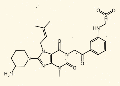 CC(C)=CCn1c(N2CCCC(N)C2)nc2c1c(=O)n(CC(=O)c1cccc(NC[SH](=O)=O)c1)c(=O)n2C